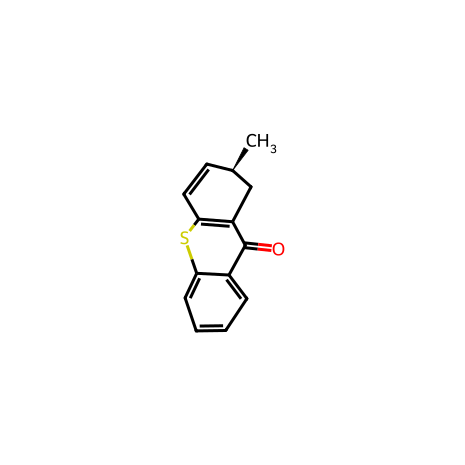 C[C@@H]1C=Cc2sc3ccccc3c(=O)c2C1